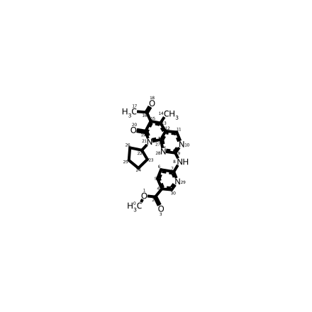 COC(=O)c1ccc(Nc2ncc3c(C)c(C(C)=O)c(=O)n(C4CCCC4)c3n2)nc1